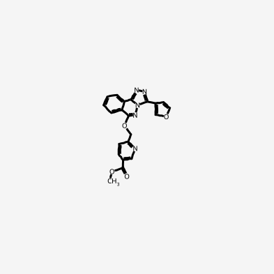 COC(=O)c1ccc(COc2nn3c(-c4ccoc4)nnc3c3ccccc23)nc1